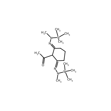 CC(=O)C1/C(=N/N(C)[Si](C)(C)C)CCC/C1=N\N(C)[Si](C)(C)C